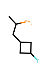 CC(P)CC1CC(F)C1